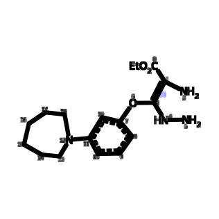 CCOC(=O)/C(N)=C(/NN)Oc1cccc(N2CCCCCC2)c1